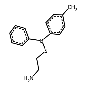 Cc1ccc(B(SCCN)c2ccccc2)cc1